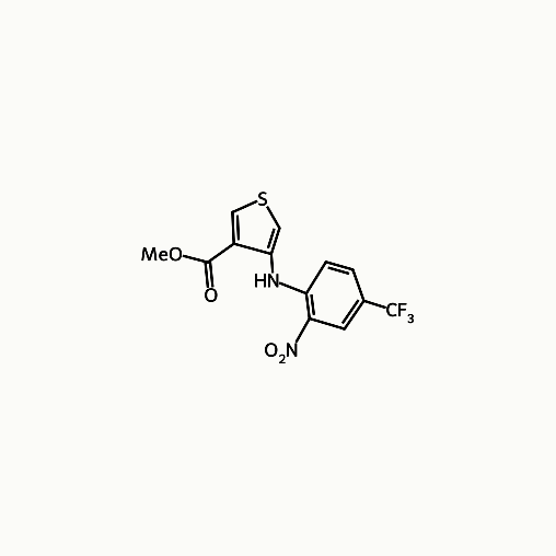 COC(=O)c1cscc1Nc1ccc(C(F)(F)F)cc1[N+](=O)[O-]